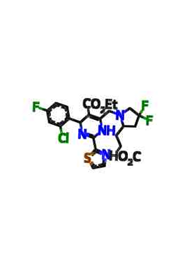 CCOC(=O)C1=C(CN2CC(F)(F)CC2CCC(=O)O)NC(c2nccs2)=NC1c1ccc(F)cc1Cl